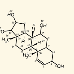 C[C@]12C=CC(O)CC1CC(O)[C@@H]1[C@H]2CC[C@]2(C)C(O)C(O)C[C@@H]12